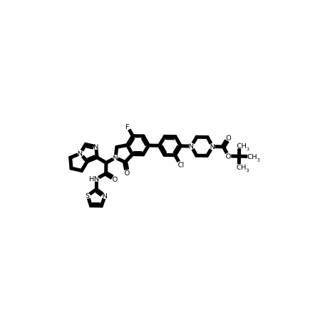 CC(C)(C)OC(=O)N1CCN(c2ccc(-c3cc(F)c4c(c3)C(=O)N(C(C(=O)Nc3nccs3)c3ncn5c3CCC5)C4)cc2Cl)CC1